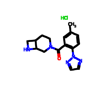 Cc1ccc(-n2nccn2)c(C(=O)N2CCC3CNC3C2)c1.Cl